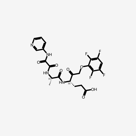 C[C@H](NC(=O)C(=O)Nc1cccnc1)C(=O)N[C@@H](CCC(=O)O)C(=O)COc1c(F)c(F)cc(F)c1F